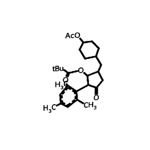 CC(=O)OC1CCC(CC2CC(=O)C(c3c(C)cc(C)cc3C)C2OC(=O)C(C)(C)C)CC1